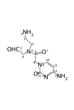 NCCN(C[C]=O)C(=O)Cn1ccc(N)nc1=O